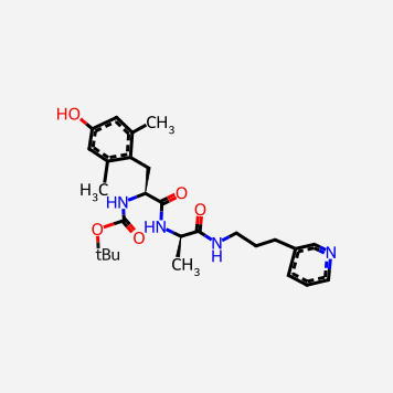 Cc1cc(O)cc(C)c1C[C@H](NC(=O)OC(C)(C)C)C(=O)N[C@H](C)C(=O)NCCCc1cccnc1